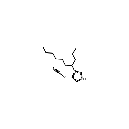 CCCCCCC(CCC)[n+]1cc[nH]c1.N#C[S-]